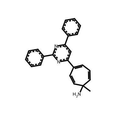 CC1(N)C=CC=C(c2cc(-c3ccccc3)nc(-c3ccccc3)n2)C=C1